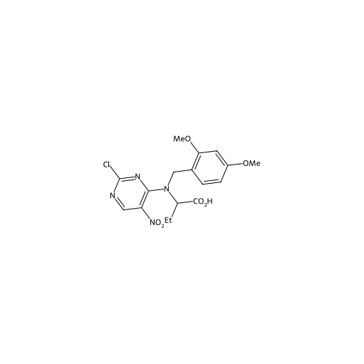 CCC(C(=O)O)N(Cc1ccc(OC)cc1OC)c1nc(Cl)ncc1[N+](=O)[O-]